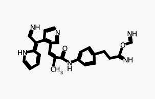 C/C(=C/c1cnccc1/C(C=N)=C1\C=CC=CN1)C(=O)Nc1ccc(CCC(=N)OC=N)cc1